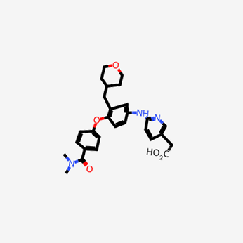 CN(C)C(=O)c1ccc(Oc2ccc(Nc3ccc(CC(=O)O)cn3)cc2CC2CCOCC2)cc1